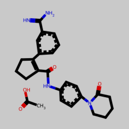 CC(=O)O.N=C(N)c1cccc(C2=C(C(=O)Nc3ccc(N4CCCCC4=O)cc3)CCC2)c1